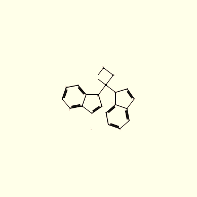 C1=CC([C]2(C3C=Cc4ccccc43)C[CH2][Zr+]2)c2ccccc21.[Br-]